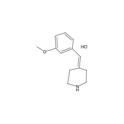 COc1cccc(C=C2CCNCC2)c1.Cl